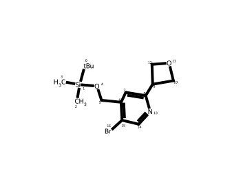 CC(C)(C)[Si](C)(C)OCc1cc(C2COC2)ncc1Br